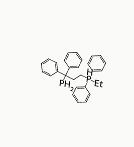 CC[PH](CCC(P)(c1ccccc1)c1ccccc1)(c1ccccc1)c1ccccc1